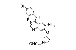 Nc1cc2c(Nc3ccc(Br)cc3F)ncnc2cc1OC1CCN(CC=O)C1